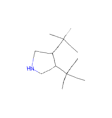 CC(C)(C)C1CNCC1C(C)(C)C